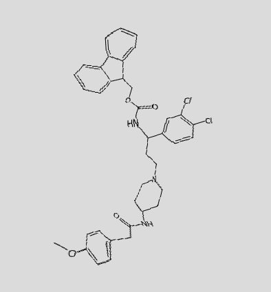 COc1ccc(CC(=O)NC2CCN(CCC(NC(=O)OCC3c4ccccc4-c4ccccc43)c3ccc(Cl)c(Cl)c3)CC2)cc1